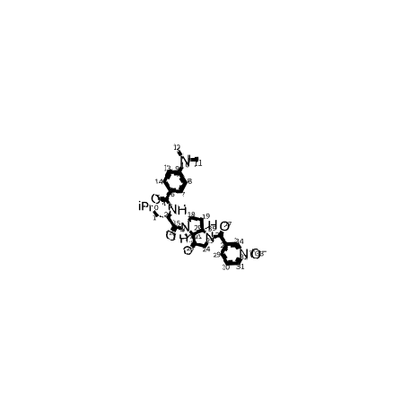 CC(C)C[C@H](NC(=O)c1ccc(N(C)C)cc1)C(=O)N1CC[C@@H]2[C@H]1C(=O)CN2C(=O)c1ccc[n+]([O-])c1